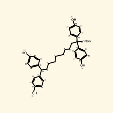 CCCCCCCCCC(CCCCCCCCC(c1ccc(O)cc1)c1ccc(O)cc1)(c1ccc(O)cc1)c1ccc(O)cc1